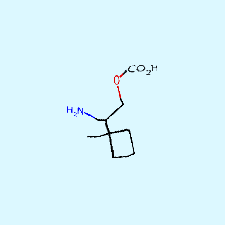 CC1(C(N)COC(=O)O)CCC1